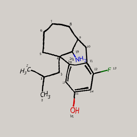 CC(C)CC12CCCCC(Cc3c(F)cc(O)cc31)C2N